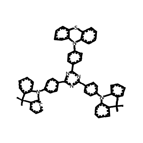 CC1(C)c2ccccc2N(c2ccc(-c3nc(-c4ccc(N5c6ccccc6Sc6ccccc65)cc4)nc(-c4ccc(N5c6ccccc6C(C)(C)c6ccccc65)cc4)n3)cc2)c2ccccc21